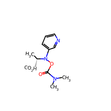 C[C@@H](C(=O)O)N(OC(=O)N(C)C)c1cccnc1